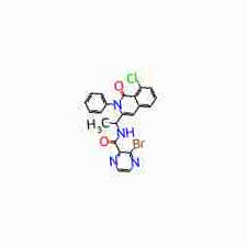 CC(NC(=O)c1nccnc1Br)c1cc2cccc(Cl)c2c(=O)n1-c1ccccc1